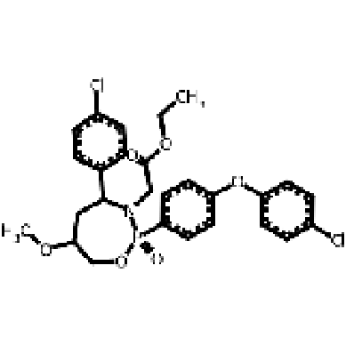 CCOC(=O)CN1C(c2ccc(Cl)cc2)CC(OC)COP1(=O)c1ccc(Oc2ccc(Cl)cc2)cc1